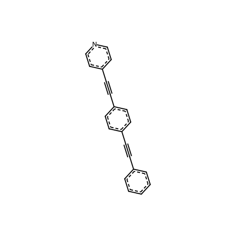 C(#Cc1ccc(C#Cc2ccncc2)cc1)c1ccccc1